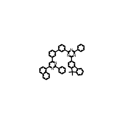 CC1(C)c2ccccc2-c2cc(-c3nc(-c4ccccc4)nc(-c4cccc(-c5cccc(-c6cc(-c7cccc8ccccc78)nc(-c7ccccc7)n6)c5)c4)n3)ccc21